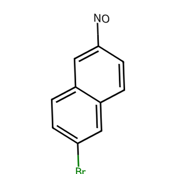 O=Nc1ccc2cc(Br)ccc2c1